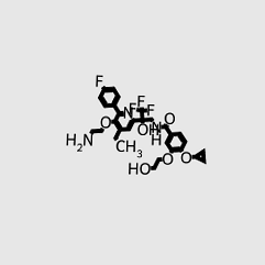 CCc1cc(C(O)(CNC(=O)c2ccc(OC3CC3)c(OCCO)c2)C(F)(F)F)nc(-c2ccc(F)cc2)c1OCCN